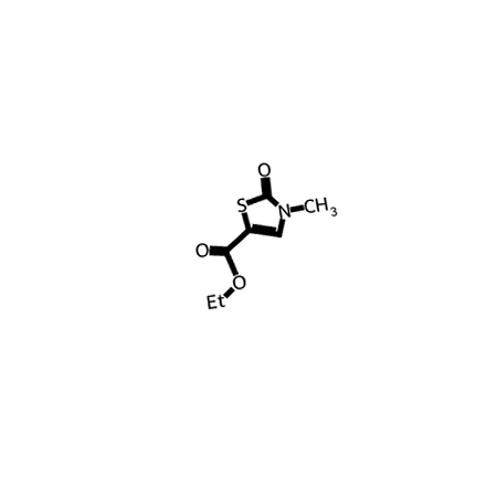 CCOC(=O)c1cn(C)c(=O)s1